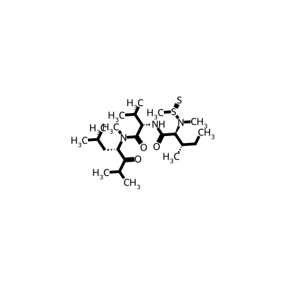 CC[C@H](C)[C@@H](C(=O)N[C@H](C(=O)N(C)[C@@H](CC(C)C)C(=O)C(C)C)C(C)C)N(C)S(C)=S